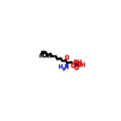 CCCCCCCC/C=C\CCCCCCCC(=O)C(N)COP(=O)(O)O